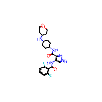 O=C(N[C@H]1CC[C@H](NC2CCOCC2)CC1)c1n[nH]cc1NC(=O)c1c(F)cccc1F